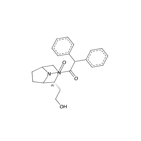 O=CN1C2CCC1[C@@H](CCO)N(C(=O)C(c1ccccc1)c1ccccc1)C2